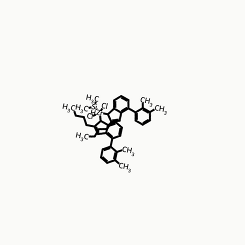 CCCCC1=Cc2c(-c3cccc(C)c3C)cccc2[CH]1[Zr]([Cl])([Cl])([CH]1C(CCCC)=Cc2c(-c3cccc(C)c3C)cccc21)[SiH](C)C